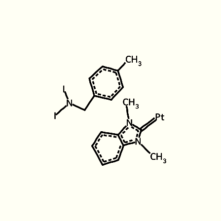 Cc1ccc(CN(I)I)cc1.Cn1[c](=[Pt])n(C)c2ccccc21